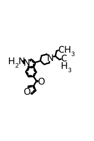 CCC(CC)N1CCC(c2cn(N)c3ccc(C(=O)c4ccoc4)cc23)CC1